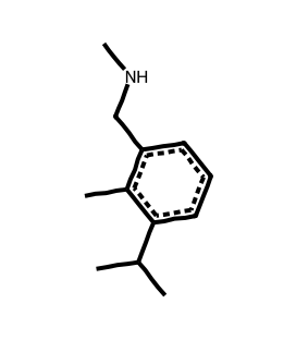 CNCc1cccc(C(C)C)c1C